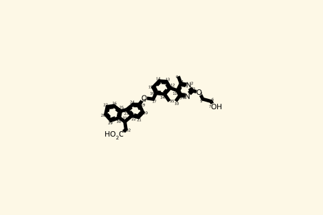 Cc1nc(OCCO)nc(C)c1-c1cccc(COc2ccc3c(c2)-c2ccccc2C3CC(=O)O)c1C